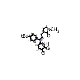 CN1CCC(C/C=C(\c2ccc(C(C)(C)C)cc2)c2ccc(Cl)c(=O)[nH]2)C1=O